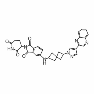 O=C1CCC(N2C(=O)c3ccc(NC4CC5(C4)CC(n4cc(-c6cnc7ccccc7n6)cn4)C5)cc3C2=O)C(=O)N1